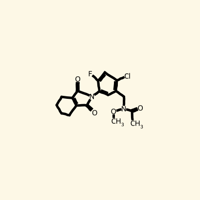 CON(Cc1cc(N2C(=O)C3=C(CCCC3)C2=O)c(F)cc1Cl)C(C)=O